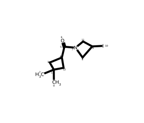 CC1(C)CC(C(=O)N2CC(I)C2)C1